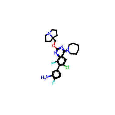 Nc1cc(-c2c(Cl)cc3c(N4CCCCCC4)nc(OCC45CCCN4CCC5)nc3c2F)ccc1F